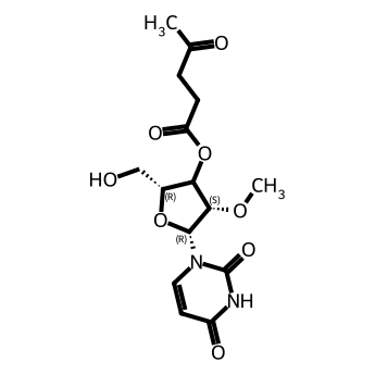 CO[C@H]1C(OC(=O)CCC(C)=O)[C@@H](CO)O[C@H]1n1ccc(=O)[nH]c1=O